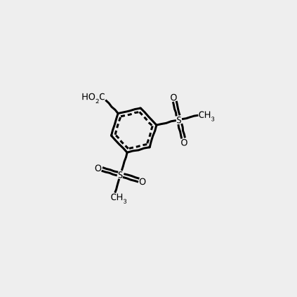 CS(=O)(=O)c1cc(C(=O)O)cc(S(C)(=O)=O)c1